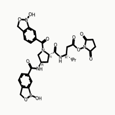 CC(C)[C@@H](CC(=O)ON1C(=O)CCC1=O)NC(=O)[C@@H]1C[C@@H](NC(=O)c2ccc3c(c2)B(O)OC3)CN1C(=O)c1ccc2c(c1)B(O)OC2